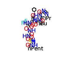 CCCCCC(=O)Nc1nnc(S(=O)(=O)NC(=O)CNC(=O)C(=O)[C@H](CC(F)F)NC(=O)[C@@H]2C[C@@H](OCc3ccccc3)CN2C(=O)[C@@H](NC(=O)[C@H](CC(C)C)NC(=O)c2cnccn2)[C@H](C)CC)s1